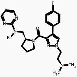 CN(C)CCn1cc(-c2ccc(F)cc2)c(C(=O)N2CCC[C@H]2CN(Br)c2ncccn2)n1